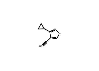 C#CC1=C[N]N=C1C1CC1